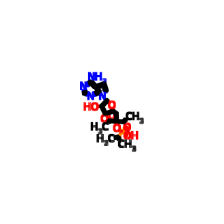 CCC(CC)(CC1O[C@@H](n2ccc3c(N)ncnc32)[C@H](O)[C@@H]1O)OP(=O)(O)C(C)C